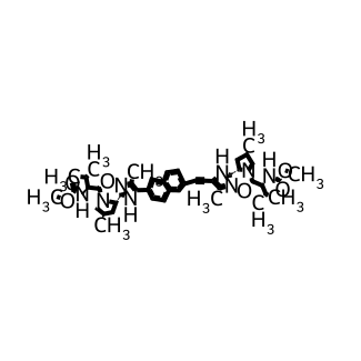 COC(=O)N[C@H](C(=O)N1C[C@@H](C)C[C@H]1c1nc(C)c(C#Cc2ccc3cc(-c4[nH]c([C@@H]5C[C@H](C)CN5C(=O)[C@@H](NC(=O)OC)C(C)C)nc4C)ccc3c2)[nH]1)C(C)C